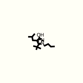 CCCCn1nc(O)c(CC(C)C)c1C(C)(C)C